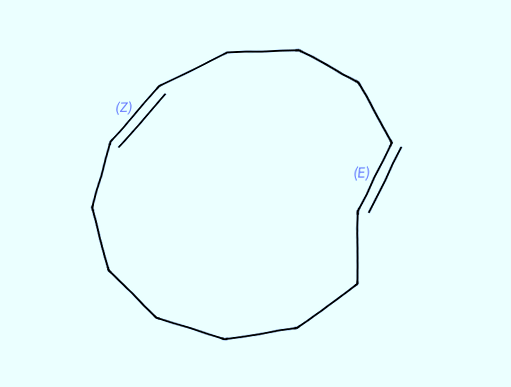 C1=C\CCCCCC/C=C/CCC/1